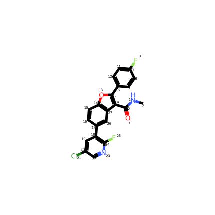 CNC(=O)c1c(-c2ccc(F)cc2)oc2ccc(-c3cc(Cl)cnc3F)cc12